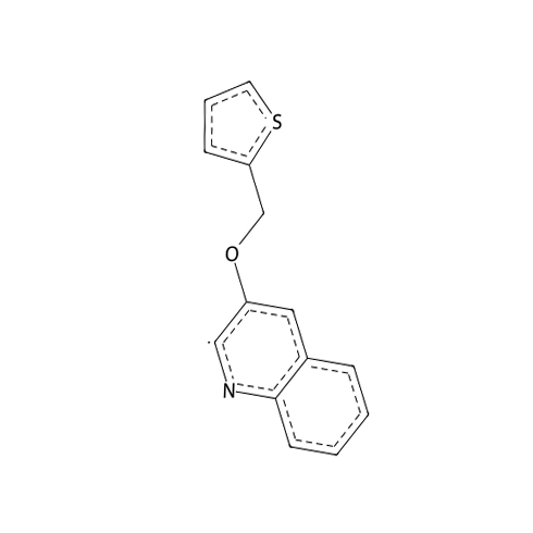 [c]1nc2ccccc2cc1OCc1cccs1